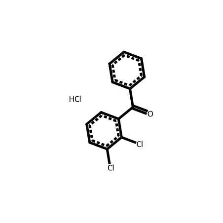 Cl.O=C(c1ccccc1)c1cccc(Cl)c1Cl